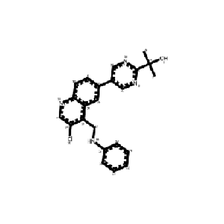 CC(C)(O)c1ncc(-c2ccc3ncc(Cl)c(CNc4ccccc4)c3c2)cn1